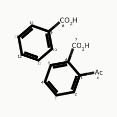 CC(=O)c1ccccc1C(=O)O.O=C(O)c1ccccc1